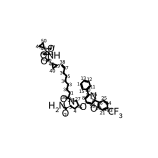 NC(=O)[C@@H]1C[C@@H](Oc2cc(-c3ccccc3)nc3c2oc2cc(C(F)(F)F)ccc23)CN1C(=O)CCCCCC/C=C\[C@@H]1C[C@@H]1C(=O)NS(=O)(=O)C1CC1